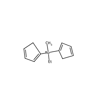 C[CH2][Ru]([CH3])([C]1=CC=CC1)[C]1=CC=CC1